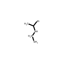 CC(C)C(C)N[SiH2][SiH3]